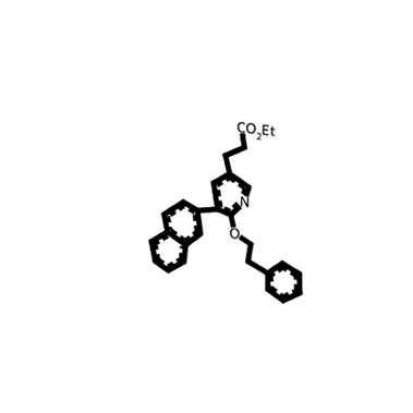 CCOC(=O)CCc1cnc(OCCc2ccccc2)c(-c2ccc3ccccc3c2)c1